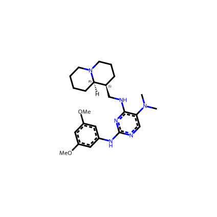 COc1cc(Nc2ncc(N(C)C)c(NC[C@@H]3CCCN4CCCC[C@H]34)n2)cc(OC)c1